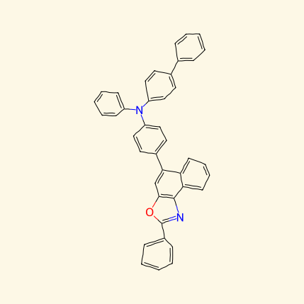 c1ccc(-c2ccc(N(c3ccccc3)c3ccc(-c4cc5oc(-c6ccccc6)nc5c5ccccc45)cc3)cc2)cc1